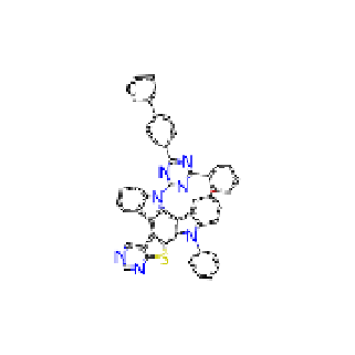 c1ccc(-c2ccc(-c3nc(-c4ccccc4)nc(-n4c5ccccc5c5c6c7cncnc7sc6c6c(c7ccccc7n6-c6ccccc6)c54)n3)cc2)cc1